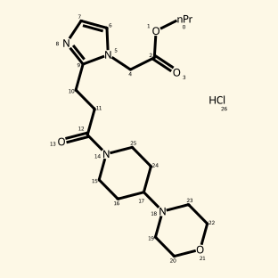 CCCOC(=O)Cn1ccnc1CCC(=O)N1CCC(N2CCOCC2)CC1.Cl